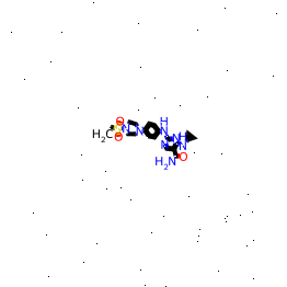 C=CS(=O)(=O)N1CCN(c2ccc(Nc3ncc(C(N)=O)c(NC4CC4)n3)cc2)CC1